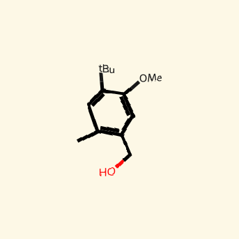 COc1cc(CO)c(C)cc1C(C)(C)C